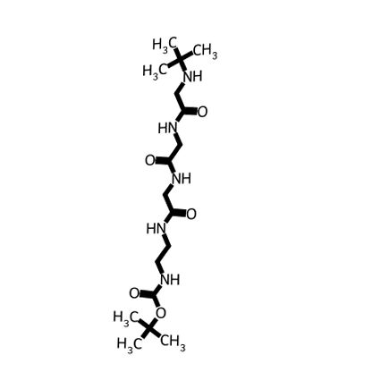 CC(C)(C)NCC(=O)NCC(=O)NCC(=O)NCCNC(=O)OC(C)(C)C